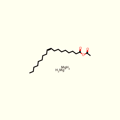 CCCCCCCC/C=C\CCCCCCCC(=O)OC(C)=O.[MgH2].[MgH2]